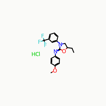 CCC1CN(c2cccc(C(F)(F)F)c2)C(=Nc2ccc(OC)cc2)O1.Cl